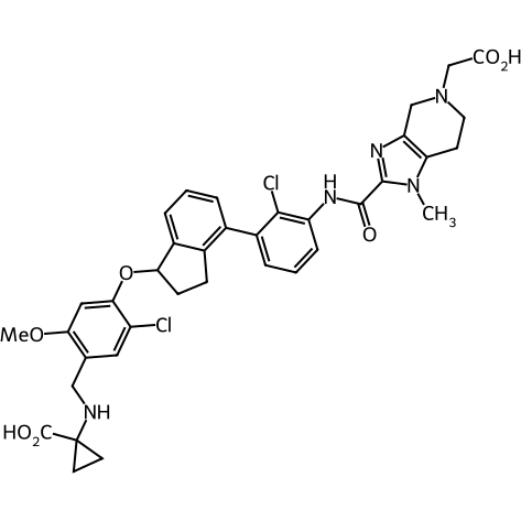 COc1cc(OC2CCc3c(-c4cccc(NC(=O)c5nc6c(n5C)CCN(CC(=O)O)C6)c4Cl)cccc32)c(Cl)cc1CNC1(C(=O)O)CC1